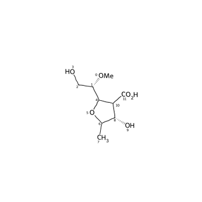 CO[C@@H](CO)C1OC(C)[C@@H](O)C1C(=O)O